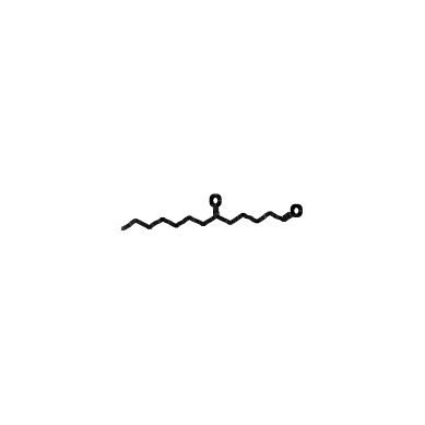 CCCCCCCC(=O)CCCCC=O